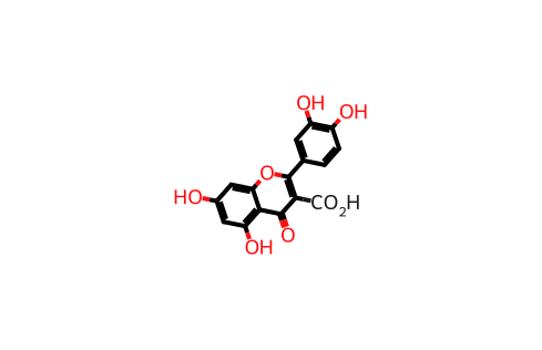 O=C(O)c1c(-c2ccc(O)c(O)c2)oc2cc(O)cc(O)c2c1=O